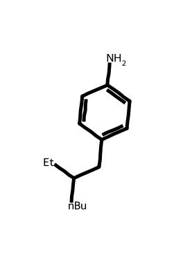 CCCCC(CC)Cc1ccc(N)cc1